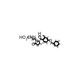 Cc1cc(OCc2ccccc2)ccc1C(O)[C@@H]1CCC(=O)N1CCNC(=O)O